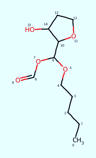 CCCCCOC(OC=O)C1OCCC1O